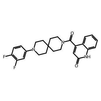 O=C(c1cc(=O)[nH]c2ccccc12)N1CCC2(CC1)CCN(c1ccc(F)c(F)c1)CC2